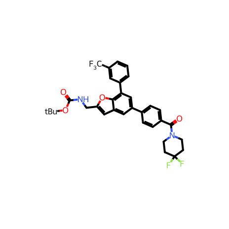 CC(C)(C)OC(=O)NCc1cc2cc(-c3ccc(C(=O)N4CCC(F)(F)CC4)cc3)cc(-c3cccc(C(F)(F)F)c3)c2o1